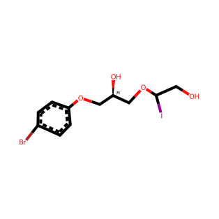 OCC(I)OC[C@H](O)COc1ccc(Br)cc1